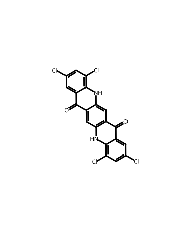 O=c1c2cc3[nH]c4c(Cl)cc(Cl)cc4c(=O)c3cc2[nH]c2c(Cl)cc(Cl)cc12